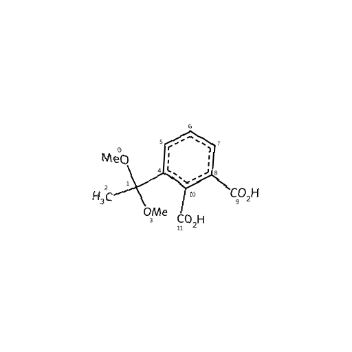 COC(C)(OC)c1cccc(C(=O)O)c1C(=O)O